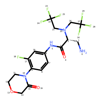 NC[C@H](C(=O)Nc1ccc(N2CCOCC2=O)c(F)c1)N(CC(F)(F)F)CC(F)(F)F